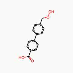 O=C(O)c1ccc(-c2ccc(COO)cc2)cc1